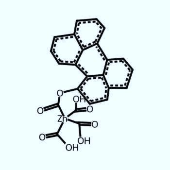 O=[C](O)[Zn]([C](=O)O)([C](=O)O)[C](=O)Oc1ccc2cccc3c4cccc5cccc(c1c23)c54